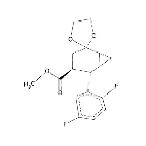 COC(=O)[C@H]1CC2(OCCO2)C2CC2[C@@H]1c1cc(F)ccc1F